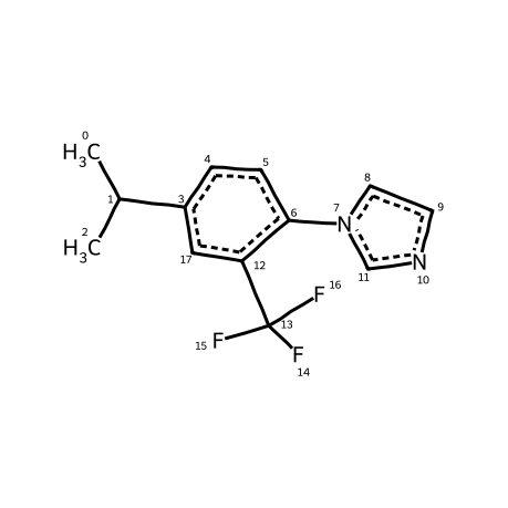 CC(C)c1ccc(-n2ccnc2)c(C(F)(F)F)c1